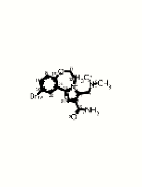 CN(C)Cc1c(C(N)=O)nc2n1CCOc1ccc(Br)cc1-2